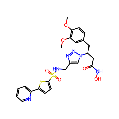 COc1ccc(C[C@@H](CC(=O)NO)n2cc(CNS(=O)(=O)c3ccc(-c4ccccn4)s3)nn2)cc1OC